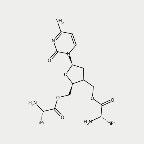 CC(C)[C@H](N)C(=O)OCC1C[C@H](n2ccc(N)nc2=O)O[C@@H]1COC(=O)[C@@H](N)C(C)C